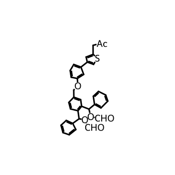 CC(=O)Cc1cc(-c2cccc(OCc3ccc(C(OC=O)c4ccccc4)c(C(OC=O)c4ccccc4)c3)c2)cs1